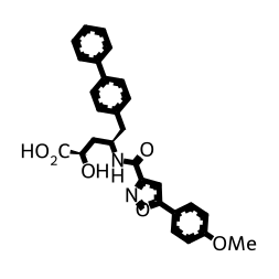 COc1ccc(-c2cc(C(=O)N[C@H](Cc3ccc(-c4ccccc4)cc3)C[C@@H](O)C(=O)O)no2)cc1